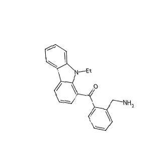 CCn1c2ccccc2c2cccc(C(=O)c3ccccc3CN)c21